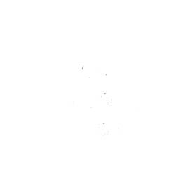 CCO[C@H](C)COCc1ccc([C@H]2[C@H](CO[Si](C(C)C)(C(C)C)C(C)C)CN(C(=O)OC(C)(C)C)C[C@@H]2OCc2ccc3c(c2)N(CCCOC)CCO3)cc1